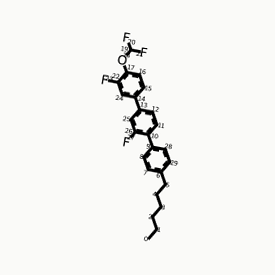 CCCCCCc1ccc(-c2ccc(-c3ccc(OC(F)F)c(F)c3)cc2F)cc1